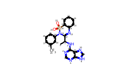 CC(Nc1ncnc2[nH]cnc12)C1=Nc2ccccc2S(=O)(=O)N1c1cccc(C(F)(F)F)c1